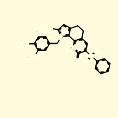 CCOC(=O)c1cc2c(n1Cc1ccc(C)c(C)c1)-c1[nH]c(=O)c(S(=O)(=O)c3ccccc3)cc1CC2